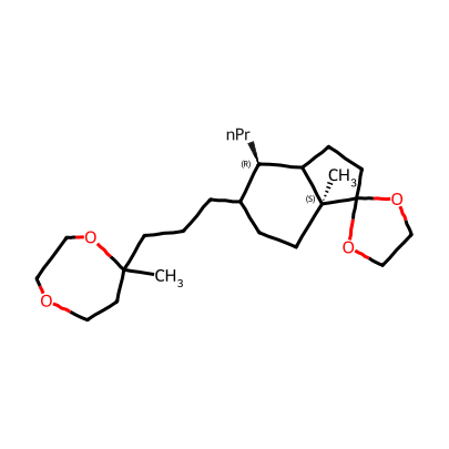 CCC[C@@H]1C(CCCC2(C)CCOCCO2)CC[C@@]2(C)C1CCC21OCCO1